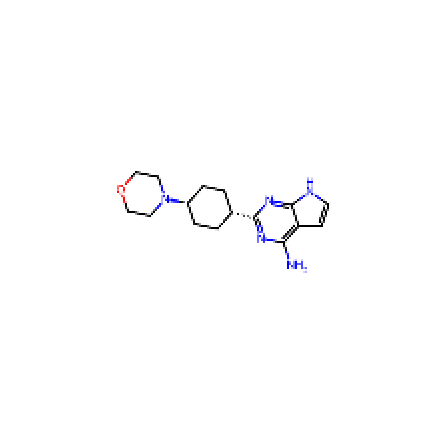 Nc1nc([C@H]2CC[C@H](N3CCOCC3)CC2)nc2[nH]ccc12